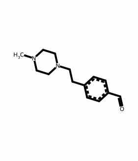 CN1CCN(CCc2ccc(C=O)cc2)CC1